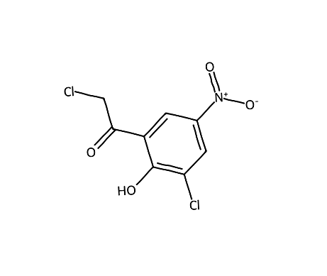 O=C(CCl)c1cc([N+](=O)[O-])cc(Cl)c1O